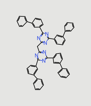 c1ccc(-c2cccc(-c3nc(Cc4nc(-c5cccc(-c6ccccc6)c5)nc(-c5cccc(-c6ccccc6)c5)n4)nc(-c4cccc(-c5ccccc5)c4)n3)c2)cc1